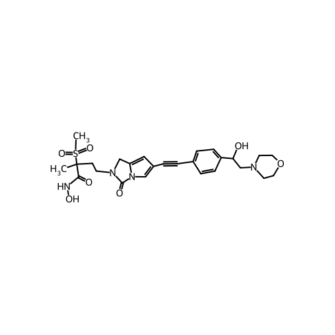 CC(CCN1Cc2cc(C#Cc3ccc(C(O)CN4CCOCC4)cc3)cn2C1=O)(C(=O)NO)S(C)(=O)=O